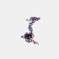 COCOc1cc(-c2ncc3c(N4C[C@H]5CC[C@@H](C4)N5C(=O)OC(C)(C)C)nc(OCCN4CCC5(CC4)CCN(CC4CCN(c6ccc7c(c6)n(C(C)C)c(=O)n7C6CCC(=O)NC6=O)CC4)CC5)nc3c2F)c2c(C#C[Si](C(C)C)(C(C)C)C(C)C)c(F)ccc2c1